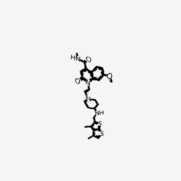 CNC(=O)c1cc(=O)n(CCN2CCC(NCc3sc4scc(C)c4c3C)CC2)c2cc(OC)ccc12